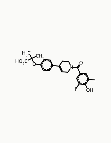 CC(C)(Oc1ccc(C2=CCN(C(=O)c3cc(I)c(O)c(I)c3)CC2)cc1)C(=O)O